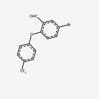 O=Cc1cc(Br)ccc1Oc1ccc(C(F)(F)F)cc1